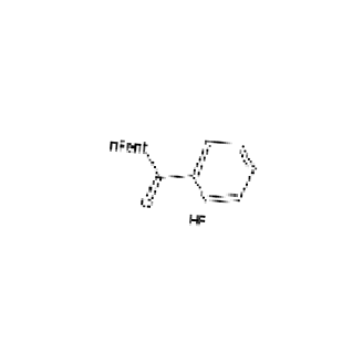 CCCCCC(=O)c1ccccc1.F